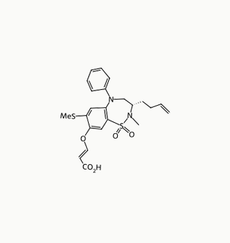 C=CCC[C@H]1CN(c2ccccc2)c2cc(SC)c(O/C=C/C(=O)O)cc2S(=O)(=O)N1C